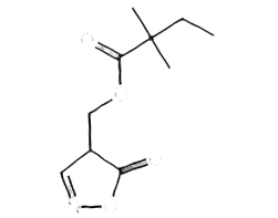 CCC(C)(C)C(=O)OCC1C=NOC1=O